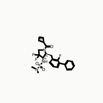 CN(C)S(=O)(=O)N[C@@H]1[C@H](Cc2cccc(-c3ccccc3)c2F)N(C(=O)C23CC(C2)C3)CC1(F)F